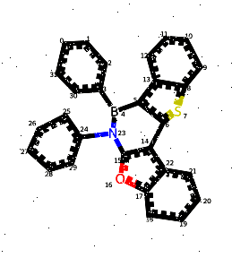 c1ccc(B2c3c(sc4ccccc34)-c3c(oc4ccccc34)N2c2ccccc2)cc1